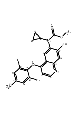 CC(C)(C)OC(=O)N(c1cc2c(Oc3c(F)cc([N+](=O)[O-])cc3F)ccnc2cc1F)C1CC1